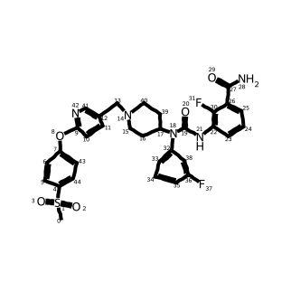 CS(=O)(=O)c1ccc(Oc2ccc(CN3CCC(N(C(=O)Nc4cccc(C(N)=O)c4F)c4cccc(F)c4)CC3)cn2)cc1